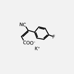 N#C/C(=C/C(=O)[O-])c1ccc(F)cc1.[K+]